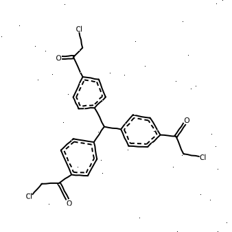 O=C(CCl)c1ccc(C(c2ccc(C(=O)CCl)cc2)c2ccc(C(=O)CCl)cc2)cc1